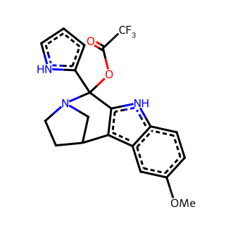 COc1ccc2[nH]c3c(c2c1)C1CCN(C1)C3(OC(=O)C(F)(F)F)c1ccc[nH]1